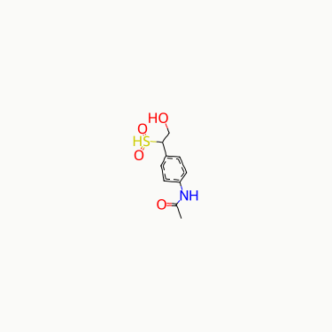 CC(=O)Nc1ccc(C(CO)[SH](=O)=O)cc1